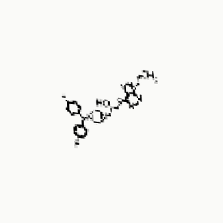 C=CCn1cnc2c(SCC(O)CN3CCN(C(c4ccc(F)cc4)c4ccc(F)cc4)CC3)ncnc21